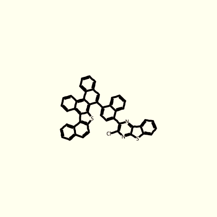 Clc1nc2sc3ccccc3c2nc1-c1ccc(-c2cc3ccccc3c3c4ccccc4c4c(sc5ccc6ccccc6c54)c23)c2ccccc12